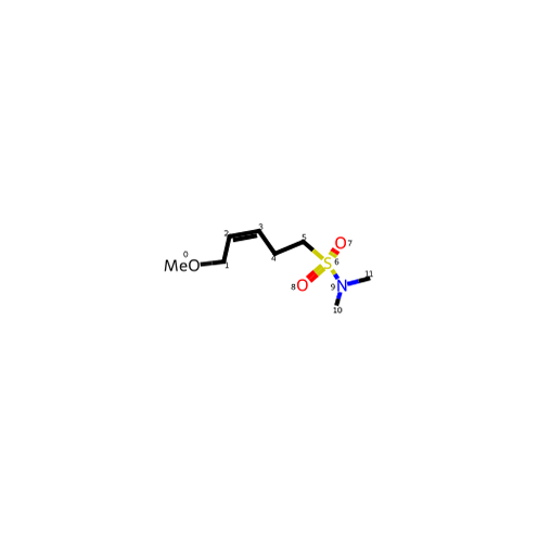 COC/C=C\CCS(=O)(=O)N(C)C